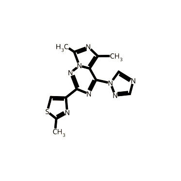 Cc1nc(-c2nc(-n3cncn3)c3c(C)nc(C)n3n2)cs1